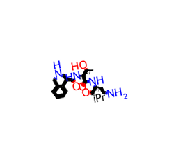 CC(C)C(=O)[C@H](CCN)NC(=O)[C@@H](NC(=O)C1CNCc2ccccc21)[C@H](C)O